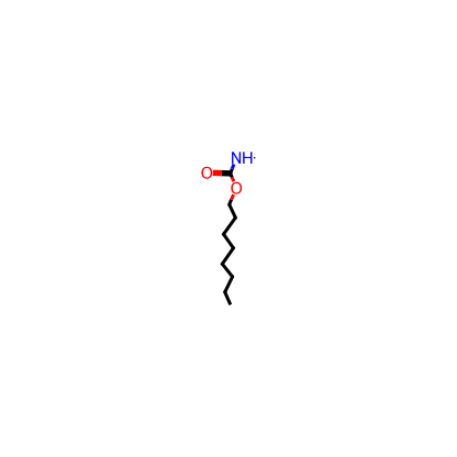 CCCCCCCCOC([NH])=O